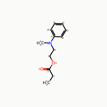 CCC(=O)OCCN(C)c1ccccc1